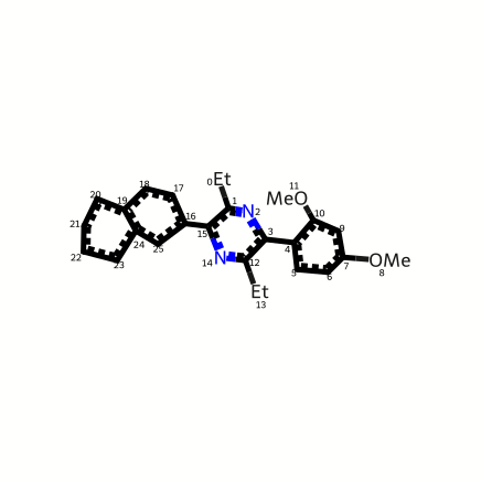 CCc1nc(-c2ccc(OC)cc2OC)c(CC)nc1-c1ccc2ccccc2c1